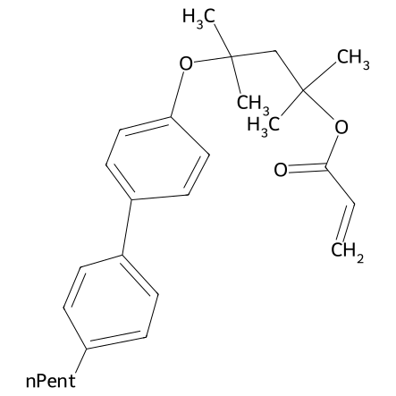 C=CC(=O)OC(C)(C)CC(C)(C)Oc1ccc(-c2ccc(CCCCC)cc2)cc1